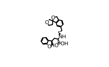 OB(O)C(Cc1coc2ccccc12)NSCc1ccc2c(c1)C1(CCOC1)OC2